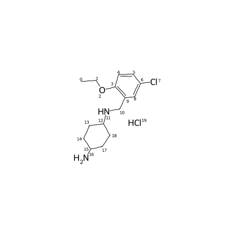 CCOc1ccc(Cl)cc1CNC1CCC(N)CC1.Cl